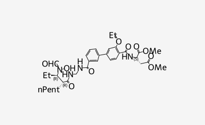 CCCCC[C@@H](C(=O)NCNC(=O)c1cccc(-c2ccc(C(=O)N[C@@H](CC(=O)OC)C(=O)OC)c(OCC)c2)c1)[C@@H](CC)N(O)C=O